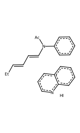 CCC=CC=CN(C(C)=O)c1ccccc1.I.c1ccc2ncccc2c1